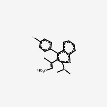 CC(=CC(=O)O)c1c(N(C)C)nc2ccccc2c1-c1ccc(F)cc1